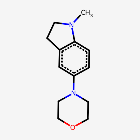 CN1CCc2cc(N3CCOCC3)ccc21